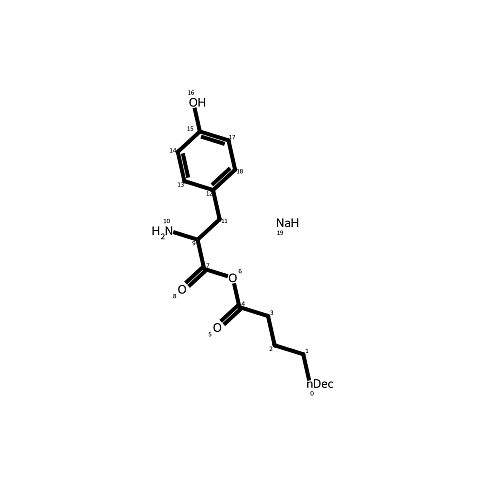 CCCCCCCCCCCCCC(=O)OC(=O)C(N)Cc1ccc(O)cc1.[NaH]